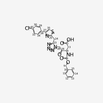 O=C(O)CC(NC(=O)OCc1ccccc1)C(=O)Cn1nnnc1Cc1nc(-c2ccc(Cl)cc2)cs1